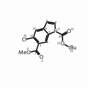 COC(=O)c1cc2c(ccn2C(=O)OC(C)(C)C)cc1Cl